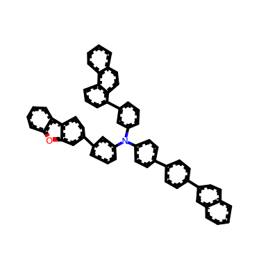 c1cc(-c2ccc3c(c2)oc2ccccc23)cc(N(c2ccc(-c3ccc(-c4ccc5ccccc5c4)cc3)cc2)c2cccc(-c3cccc4c3ccc3ccccc34)c2)c1